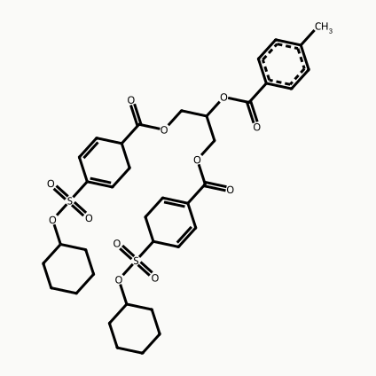 Cc1ccc(C(=O)OC(COC(=O)C2=CCC(S(=O)(=O)OC3CCCCC3)C=C2)COC(=O)C2C=CC(S(=O)(=O)OC3CCCCC3)=CC2)cc1